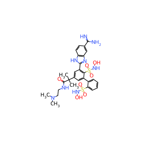 CN(C)CCNC(=O)C(C)(C)c1cc(-c2nc3cc(C(=N)N)ccc3[nH]2)c(S(=O)(=O)NO)c(-c2ccccc2S(=O)(=O)NO)c1